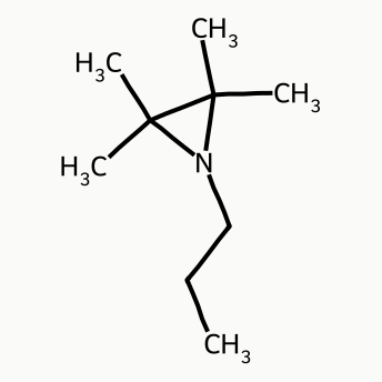 CCCN1C(C)(C)C1(C)C